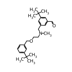 CN(CCOCc1cccc(C(C)(C)C)c1)Cc1cc(C=O)cc(C(C)(C)C)c1